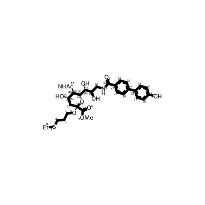 CCSCCCO[C@]1(C(=O)OC)C[C@H](O)[C@@H](NC(C)=O)[C@H]([C@H](O)C(O)CNC(=O)c2ccc(-c3ccc(O)cc3)cc2)O1